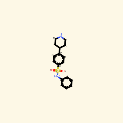 O=S(=O)(Nc1ccccc1)c1ccc(C2CCNCC2)cc1